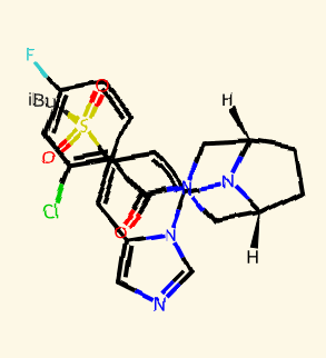 CC[C@H](C)S(=O)(=O)c1cc(N2[C@@H]3CC[C@H]2CN(C(=O)c2ccc(F)cc2Cl)C3)n2cncc2c1